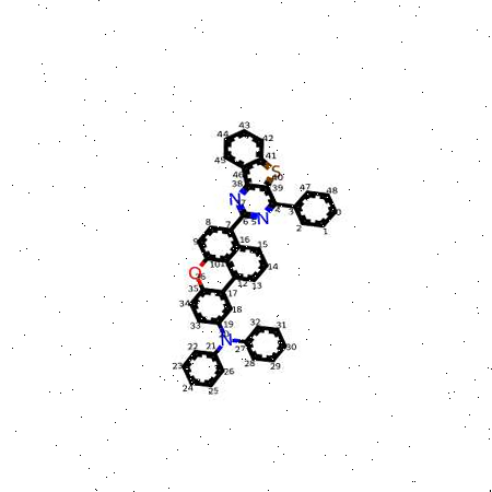 c1ccc(-c2nc(-c3ccc4c5c(cccc35)-c3cc(N(c5ccccc5)c5ccccc5)ccc3O4)nc3c2sc2ccccc23)cc1